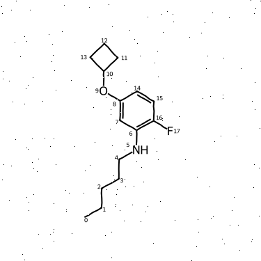 CCCCCNc1cc(OC2CCC2)ccc1F